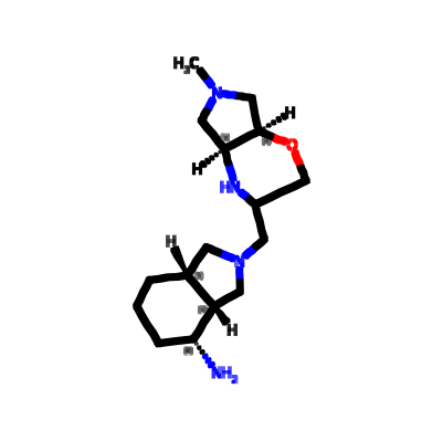 CN1C[C@@H]2NC(CN3C[C@H]4CCC[C@@H](N)[C@H]4C3)CO[C@@H]2C1